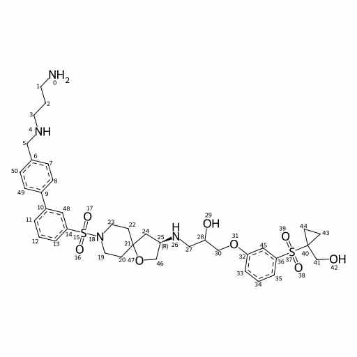 NCCCNCc1ccc(-c2cccc(S(=O)(=O)N3CCC4(CC3)C[C@@H](NCC(O)COc3cccc(S(=O)(=O)C5(CO)CC5)c3)CO4)c2)cc1